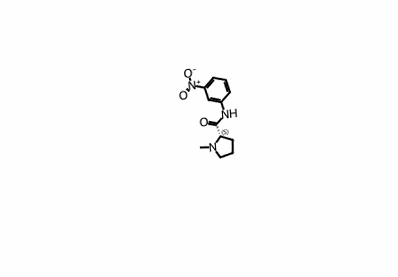 CN1CCC[C@H]1C(=O)Nc1cccc([N+](=O)[O-])c1